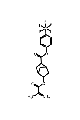 C=C(C)C(=O)OC1CC2CC1CC2C(=O)Oc1ccc(S(F)(F)(F)(F)F)cc1